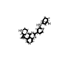 c1cc(-c2nc(N3CCNCC3)c3c(C4CC4)cncc3n2)cc(N[C@@H]2C[C@H]3CCC2O3)n1